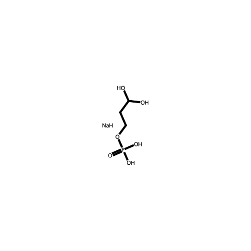 O=P(O)(O)OCCC(O)O.[NaH]